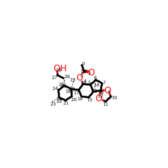 CC(=O)O[C@H]1C2CCC3(OCCO3)[C@@]2(C)CCC1[C@@]1(C)CC[C@H](C)C[C@@H]1CCO